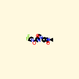 O=C(c1cnc2c(c1)OCCN2c1ccc2c(c1)CN(C1CC1)C2=O)N1CCC(F)(F)CC1